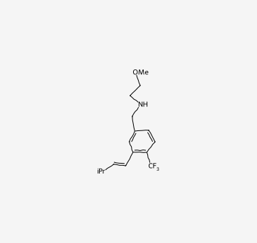 COCCNCc1ccc(C(F)(F)F)c(/C=C/C(C)C)c1